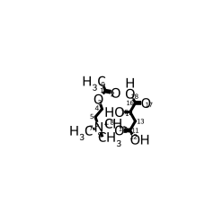 CC(=O)OCC[N+](C)(C)C.O=C(O)CC(O)C(=O)O